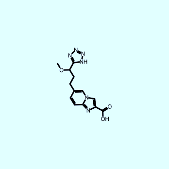 COC(CCc1ccc2nc(C(=O)O)cn2c1)c1nnn[nH]1